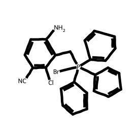 N#Cc1ccc(N)c(CP(Br)(c2ccccc2)(c2ccccc2)c2ccccc2)c1Cl